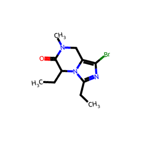 CCc1nc(Br)c2n1C(CC)C(=O)N(C)C2